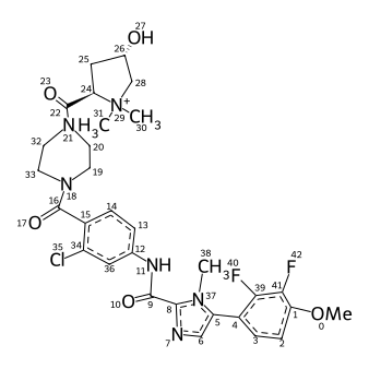 COc1ccc(-c2cnc(C(=O)Nc3ccc(C(=O)N4CCN(C(=O)[C@H]5C[C@H](O)C[N+]5(C)C)CC4)c(Cl)c3)n2C)c(F)c1F